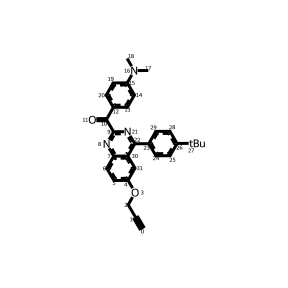 C#CCOc1ccc2nc(C(=O)c3ccc(N(C)C)cc3)nc(-c3ccc(C(C)(C)C)cc3)c2c1